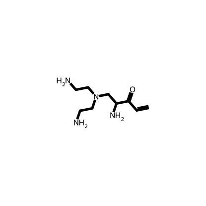 C=CC(=O)C(N)CN(CCN)CCN